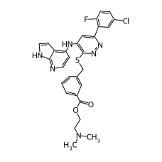 CN(C)CCOC(=O)c1cccc(CSc2nnc(-c3cc(Cl)ccc3F)cc2Nc2ccnc3[nH]ccc23)c1